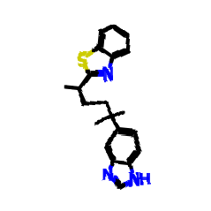 CC(CCC(C)(C)c1ccc2[nH]cnc2c1)c1nc2ccccc2s1